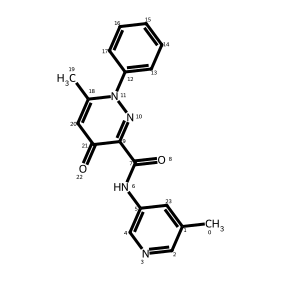 Cc1cncc(NC(=O)c2nn(-c3ccccc3)c(C)cc2=O)c1